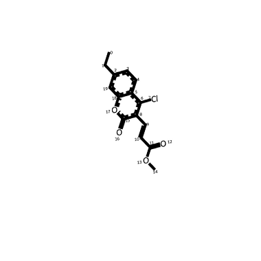 CCc1ccc2c(Cl)c(C=CC(=O)OC)c(=O)oc2c1